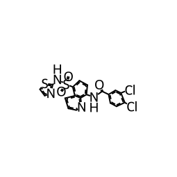 O=C(Nc1ccc(S(=O)(=O)Nc2nccs2)c2cccnc12)c1ccc(Cl)c(Cl)c1